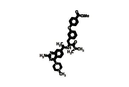 C=C(NC(Cc1cccc(Oc2ccc(C(=O)OC)cc2)c1)C(=O)N(C)C)c1ccc2c(N3CCN(C)CC3)nc(N)nc2c1